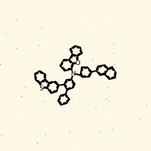 c1ccc(-c2ccc(N(c3ccc(-c4ccc5ccccc5c4)cc3)c3cccc4c3oc3ccccc34)cc2-c2ccc3sc4ccccc4c3c2)cc1